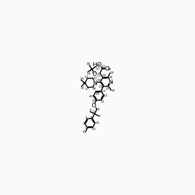 Cc1ccc(C(C)(C)COc2ccc(-c3c(C)nc(C)c([C@H](OC(C)(C)C)C(=O)O)c3N3CCC(C)(C)CC3)cc2)cc1